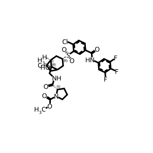 COC(=O)N1CCC[C@H]1C(=O)NC[C@@]1(O)C2C[C@@H](S(=O)(=O)c3cc(C(=O)Nc4cc(F)c(F)c(F)c4)ccc3Cl)C[C@@H]1[C@@H](C)C2